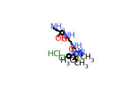 Cc1sc2c(c1C)C(c1ccc(Cl)cc1)=N[C@@H](CC(=O)NCCCCC(=O)Nc1ccc(C#CCN)c(CO)c1)c1nnc(C)n1-2.Cl